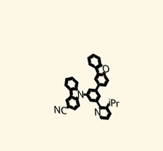 CC(C)c1cccnc1-c1cc(-c2ccc3oc4ccccc4c3c2)cc(-n2c3ccccc3c3cc(C#N)ccc32)c1